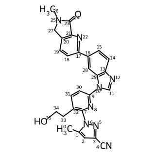 Cc1cc(C#N)nn1-c1nc(-n2cnc3ccc(-c4ccc5c(n4)C(=O)N(C)C5)cc32)ccc1CCO